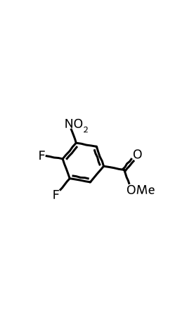 COC(=O)c1cc(F)c(F)c([N+](=O)[O-])c1